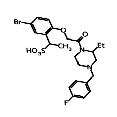 CCC1CN(Cc2ccc(F)cc2)CCN1C(=O)COc1ccc(Br)cc1C(C)S(=O)(=O)O